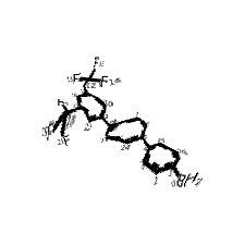 Bc1ccc(-c2ccc(-c3cc(C(F)(F)F)cc(C(F)(F)F)c3)cc2)cc1